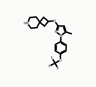 Cc1cc(OC2CC3(CCNCC3)C2)nn1-c1ccc(OC(F)(F)F)cc1